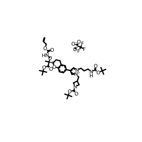 C=CCOC(=O)NOC(C)(C(=O)OC(C)(C)C)[C@H]1CCc2cc(-c3cn(CCCNC(=O)OC(C)(C)C)[n+](CC4CN(C(=O)OC(C)(C)C)C4)c3)ccc2O1.O=S(=O)([O-])C(F)(F)F